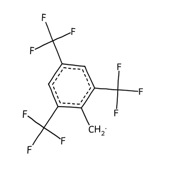 [CH2]c1c(C(F)(F)F)cc(C(F)(F)F)cc1C(F)(F)F